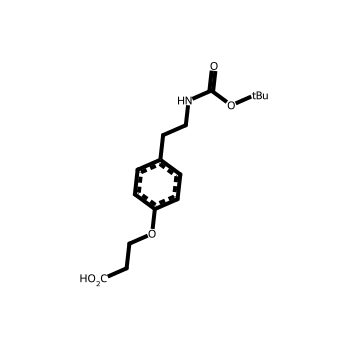 CC(C)(C)OC(=O)NCCc1ccc(OCCC(=O)O)cc1